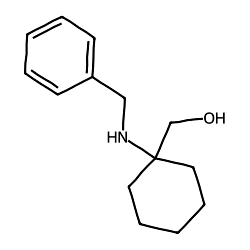 OCC1(NCc2ccccc2)CCCCC1